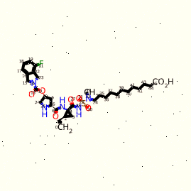 C=C[C@@H]1C[C@@]1(NC(=O)[C@H]1C[C@@H](OC(=O)N2Cc3cccc(F)c3C2)CN1)C(=O)NS(=O)(=O)N(C)CCCCCCCCCCCC(=O)O